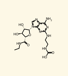 CCNC(=O)[C@H]1O[C@@H](n2cnc3c(N)nc(NCCNC(=O)O)nc32)[C@@H](O)[C@@H]1O